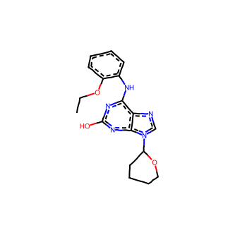 CCOc1ccccc1Nc1nc(O)nc2c1ncn2C1CCCCO1